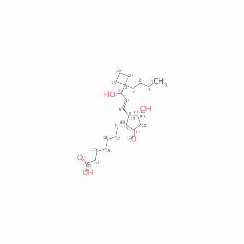 CCCCC1(C(O)C=C[C@H]2[C@H](O)CC(=O)[C@@H]2CCCCCCC(=O)O)CCC1